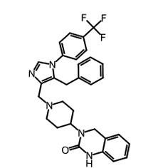 O=C1Nc2ccccc2CN1C1CCN(Cc2ncn(-c3ccc(C(F)(F)F)cc3)c2Cc2ccccc2)CC1